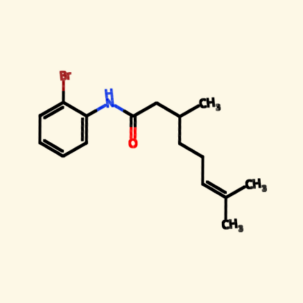 CC(C)=CCCC(C)CC(=O)Nc1ccccc1Br